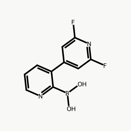 OB(O)c1ncccc1-c1cc(F)nc(F)c1